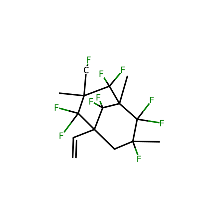 C=CC12CC(C)(F)C(F)(F)C(C)(C(F)(F)C(C)(CF)C1(F)F)C2(F)F